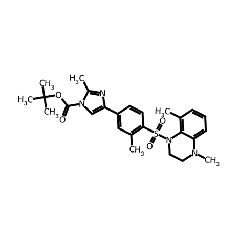 Cc1cc(-c2cn(C(=O)OC(C)(C)C)c(C)n2)ccc1S(=O)(=O)N1CCN(C)c2cccc(C)c21